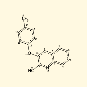 N#Cc1nc2ccccc2cc1Oc1ccc(C(F)(F)F)cc1